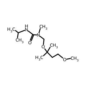 COCCC(C)(C)OCN(C)C(=O)NC(C)C